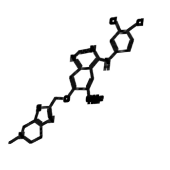 COc1cc2c(Nc3ccc(Cl)c(Cl)c3)ncnc2cc1OCc1nc2c(s1)CN(C)CC2.Cl